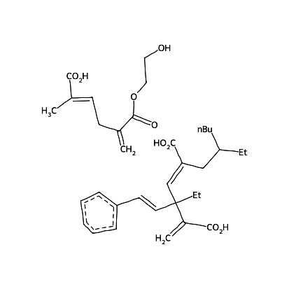 C=C(C(=O)O)C(C=Cc1ccccc1)(C=C(CC(CC)CCCC)C(=O)O)CC.C=C(CC=C(C)C(=O)O)C(=O)OCCO